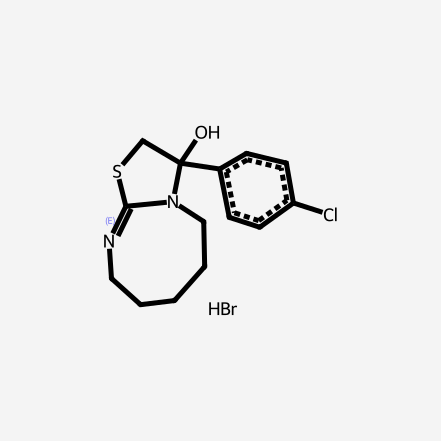 Br.OC1(c2ccc(Cl)cc2)CS/C2=N/CCCCCN21